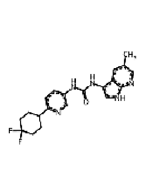 Cc1cnc2[nH]cc(NC(=O)Nc3ccc(C4CCC(F)(F)CC4)nc3)c2c1